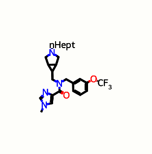 CCCCCCCN1CC2C(C1)C2CN(Cc1cccc(OC(F)(F)F)c1)C(=O)c1cn(C)cn1